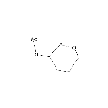 CC(=O)OC1[C]OCCC1